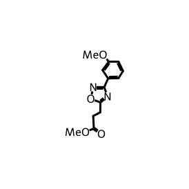 COC(=O)CCc1nc(-c2cccc(OC)c2)no1